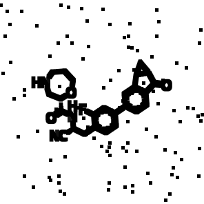 N#C[C@H](Cc1ccc(-c2ccc3c(c2)C2CC2C3=O)cc1F)NC(=O)[C@@H]1CNCCCO1